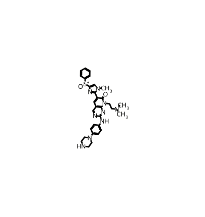 CN(C)CCn1c(=O)c(-c2nc([S+]([O-])c3ccccc3)cn2C)cc2cnc(Nc3ccc(N4CCNCC4)cc3)nc21